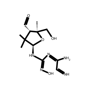 CC1(C)[C@H](NC(=N/O)/N=C(/N)C=N)O[C@](C)(CO)[C@H]1C=O